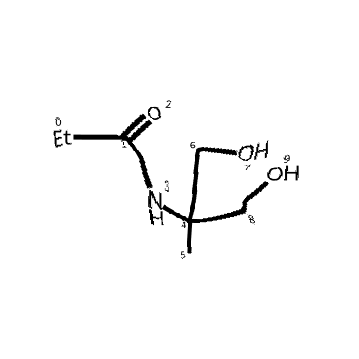 CCC(=O)NC(C)(CO)CO